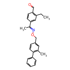 CCc1cc(C(C)=NOCc2ccc(-c3ccccc3)c(C)c2)ccc1C=O